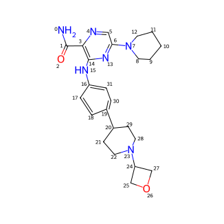 NC(=O)c1ncc(N2CCCCC2)nc1Nc1ccc(C2CCN(C3COC3)CC2)cc1